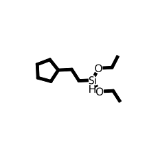 CCO[SiH](CCC1CCCC1)OCC